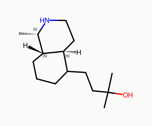 C[C@@H]1NCC[C@H]2C(CCC(C)(C)O)CCC[C@H]12